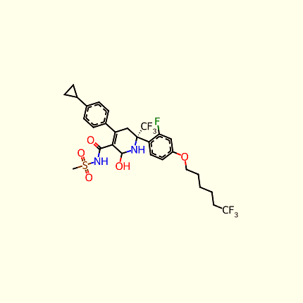 CS(=O)(=O)NC(=O)C1=C(c2ccc(C3CC3)cc2)C[C@](c2ccc(OCCCCCC(F)(F)F)cc2F)(C(F)(F)F)NC1O